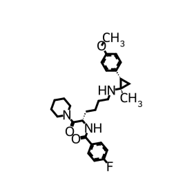 COc1ccc([C@@H]2C[C@@]2(C)NCCCC[C@H](NC(=O)c2ccc(F)cc2)C(=O)N2CCCCC2)cc1